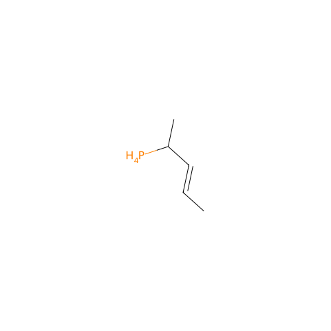 CC=CC(C)[PH4]